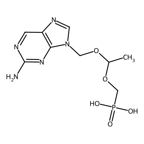 CC(OCn1cnc2cnc(N)nc21)OCP(=O)(O)O